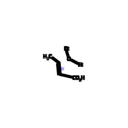 C/C=C/C(=O)O.CCOCC